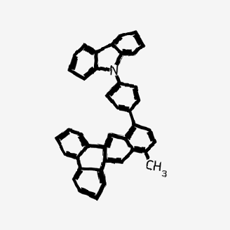 Cc1ccc(-c2ccc(-n3c4ccccc4c4ccccc43)cc2)c2cc3c4ccccc4c4ccccc4c3cc12